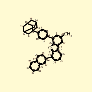 Cc1cc(-c2ccc(C34CC5CC(CC(C5)C3)C4)cc2)c2oc3c(-c4ccc5ccccc5c4)cccc3c2c1